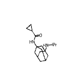 CC(C)NC12CC3CC(CC(NC(=O)C4CC4)(C3)C1)C2